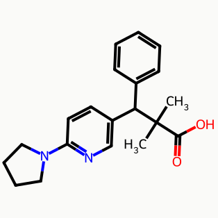 CC(C)(C(=O)O)C(c1ccccc1)c1ccc(N2CCCC2)nc1